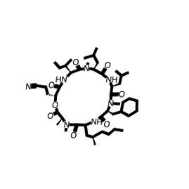 CCCC[C@@H](C)CC1NC(=O)[C@H](CC2CCCCC2)N(C)C(=O)[C@H](CC(C)C)NC(=O)[C@H](CC(C)C)N(C)C(=O)[C@H](C(C)CC)NC(=O)[C@@H](CCC#N)OC(=O)[C@H](C)N(C)C1=O